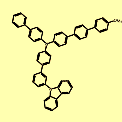 COc1ccc(-c2ccc(-c3ccc(N(c4ccc(-c5ccccc5)cc4)c4ccc(-c5cccc(-n6c7ccccc7c7ccccc76)c5)cc4)cc3)cc2)cc1